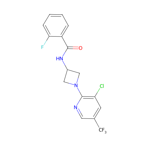 O=C(NC1CN(c2ncc(C(F)(F)F)cc2Cl)C1)c1ccccc1F